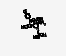 COc1ccc(N(C)C[C@@H]2CC[C@@H](CCB(O)O)C[C@]2(N)C(=O)O)cc1.Cl.Cl